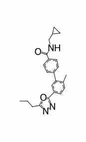 CCCc1nnc(-c2ccc(C)c(-c3ccc(C(=O)NCC4CC4)cc3)c2)o1